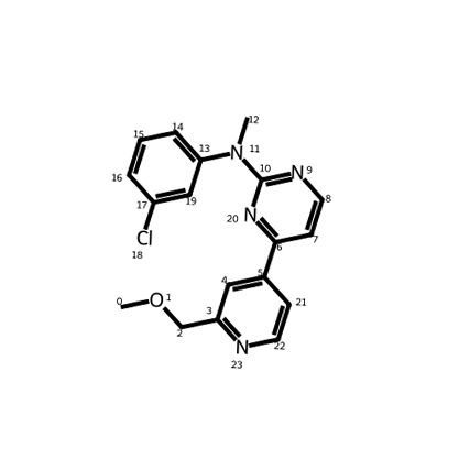 COCc1cc(-c2ccnc(N(C)c3cccc(Cl)c3)n2)ccn1